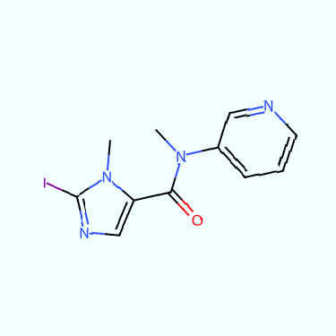 CN(C(=O)c1cnc(I)n1C)c1cccnc1